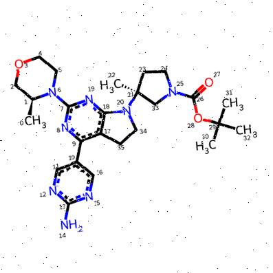 C[C@H]1COCCN1c1nc(-c2cnc(N)nc2)c2c(n1)N([C@@]1(C)CCN(C(=O)OC(C)(C)C)C1)CC2